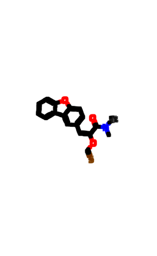 CCN(C)C(=O)/C(=C\c1ccc2oc3ccccc3c2c1)OC=S